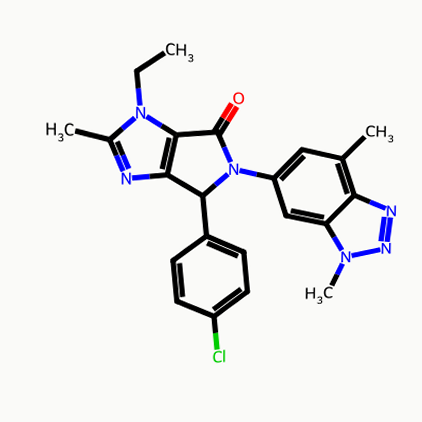 CCn1c(C)nc2c1C(=O)N(c1cc(C)c3nnn(C)c3c1)C2c1ccc(Cl)cc1